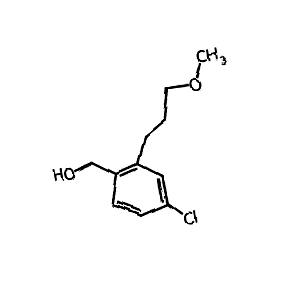 COCCCc1cc(Cl)ccc1CO